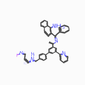 C=C(/N=C(/c1ccccc1)c1ccc2ccccc2c1N)c1cc(-c2ccc(CN/C=C\C=N/I)cc2)cc(-c2ccccn2)c1